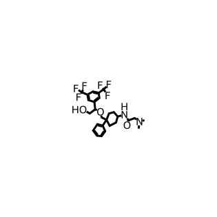 CN(C)CC(=O)NC1CCC(COC(CO)c2cc(C(F)(F)F)cc(C(F)(F)F)c2)(c2ccccc2)CC1